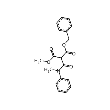 COC(=O)C(C(=O)OCc1ccccc1)C(=O)N(C)c1ccccc1